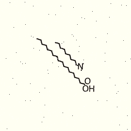 CCCCCCCCCCCCCCCCCC(=O)O.CCCCCCCCCN(C)C